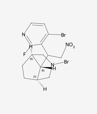 O=[N+]([O-])CC(c1c(Br)ccnc1F)[C@@H]1[C@@H]2CC[C@H]1CN(Br)C2